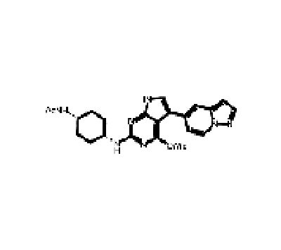 COc1nc(N[C@H]2CC[C@@H](NC(C)=O)CC2)nc2[nH]cc(-c3ccn4nccc4c3)c12